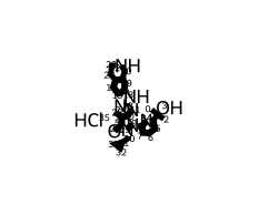 CC(C)(O)c1cccc(-n2c3nc(Nc4ccc5c(c4)CNCC5)ncc3c(=O)n2CC2CC2)n1.Cl